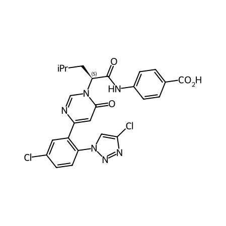 CC(C)C[C@@H](C(=O)Nc1ccc(C(=O)O)cc1)n1cnc(-c2cc(Cl)ccc2-n2cc(Cl)nn2)cc1=O